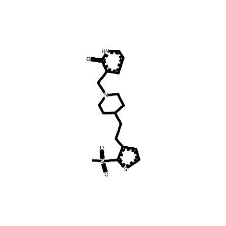 CS(=O)(=O)c1sccc1CCC1CCN(Cc2ccc[nH]c2=O)CC1